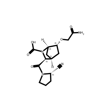 N#C[C@@H]1CCCN1C(=O)[C@@H]1[C@H]2C[C@H]([C@H](OCC(N)=O)C2)N1C(=O)O